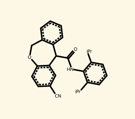 CC(C)c1cccc(C(C)C)c1NC(=O)C1c2ccccc2COc2ccc(C#N)cc21